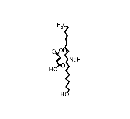 CCCCCCCCCCCCCCCCCCO.O=C(O)/C=C/C(=O)O.[NaH]